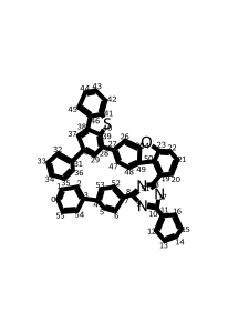 c1ccc(-c2ccc(-c3nc(-c4ccccc4)nc(-c4cccc5oc6cc(-c7cc(-c8ccccc8)cc8c7sc7ccccc78)ccc6c45)n3)cc2)cc1